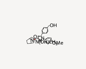 COc1ccc(-n2nc(C3CC4CCC(C3)N4C(=O)N(C)O)cc2-c2ccc(CO)cc2)cc1